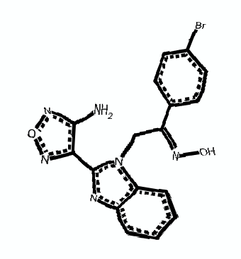 Nc1nonc1-c1nc2ccccc2n1CC(=NO)c1ccc(Br)cc1